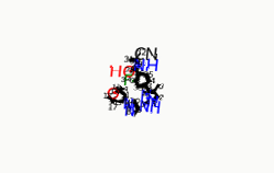 Cc1cnc(Nc2cnn(C3CC(C)(C)OC(C)(C)C3)c2)nc1-c1ccc(C(O)N[C@@H](C)C#N)c(F)c1